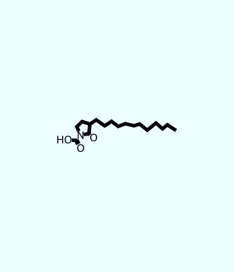 CCCCCCCCCCCCC1CCN(C(=O)O)C1=O